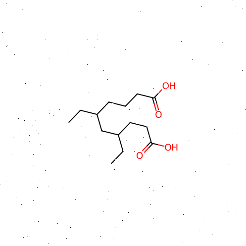 CCC(CCCC(=O)O)CC(CC)CCC(=O)O